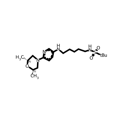 C[C@@H]1CN(c2ccc(NCCCCCNS(=O)(=O)C(C)(C)C)cn2)C[C@H](C)O1